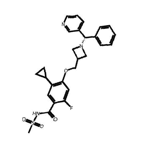 CS(=O)(=O)NC(=O)c1cc(C2CC2)c(OCC2CN([C@@H](c3ccccc3)c3cccnc3)C2)cc1F